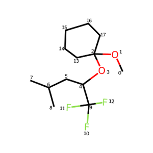 COC1(OC(CC(C)C)C(F)(F)F)CCCCC1